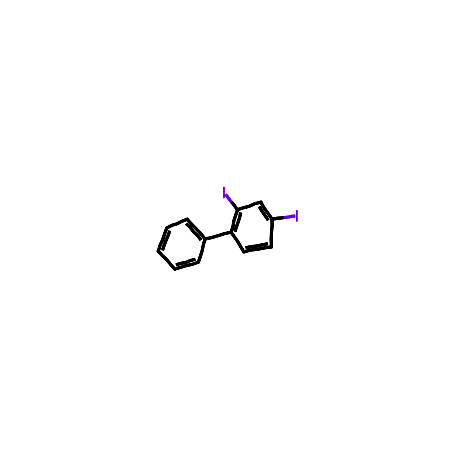 Ic1ccc(-c2ccccc2)c(I)c1